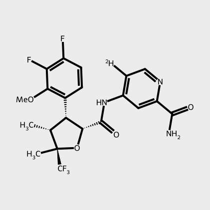 [2H]c1cnc(C(N)=O)cc1NC(=O)[C@@H]1O[C@@](C)(C(F)(F)F)[C@H](C)[C@@H]1c1ccc(F)c(F)c1OC